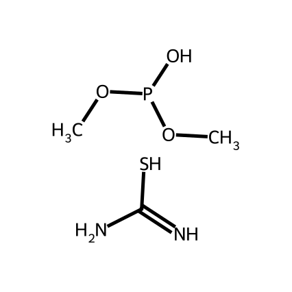 COP(O)OC.N=C(N)S